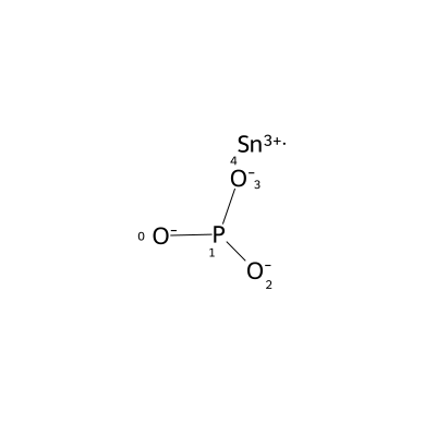 [O-]P([O-])[O-].[Sn+3]